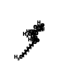 CCCCCCCCCCCOP(=O)(O)OC[C@H]1O[C@@H](n2cc(F)c(=O)[nH]c2=O)C[C@@]1(O)C(C)=O